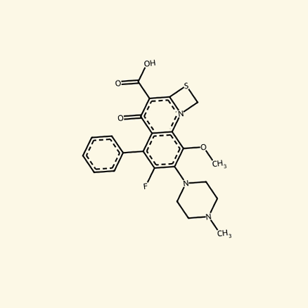 COc1c(N2CCN(C)CC2)c(F)c(-c2ccccc2)c2c(=O)c(C(=O)O)c3n(c12)CS3